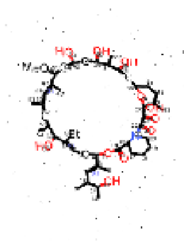 CC/C1=C\CC(/C(C)=C/C(C)C(C)O)OC(=O)C2CCCCN2C(=O)C(=O)C2(O)OC(CCC2C)CC(O)C(C)C(O)CC(O)CC(OC)/C(C)=C/C(C)CC(C)C1O